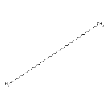 CCCCCCCCCCCCCCCC[CH]CCCCCCCCCCCCCCCCCCCCCCCCCCC